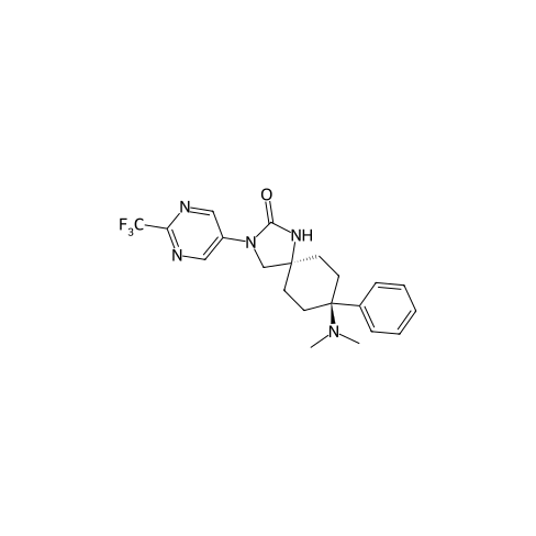 CN(C)[C@]1(c2ccccc2)CC[C@]2(CC1)CN(c1cnc(C(F)(F)F)nc1)C(=O)N2